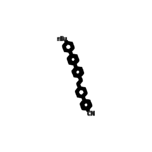 CCCCC1CCC(c2ccc(-c3ccc(CCC4CCC(c5ccc(C#N)cc5)CC4)cc3)cc2)CC1